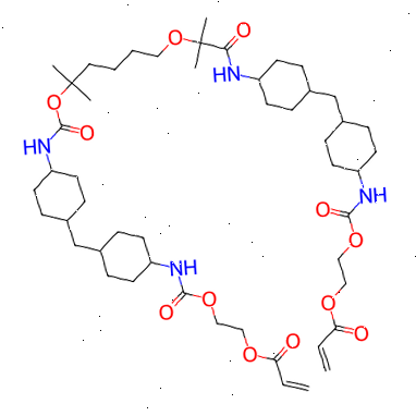 C=CC(=O)OCCOC(=O)NC1CCC(CC2CCC(NC(=O)OC(C)(C)CCCCOC(C)(C)C(=O)NC3CCC(CC4CCC(NC(=O)OCCOC(=O)C=C)CC4)CC3)CC2)CC1